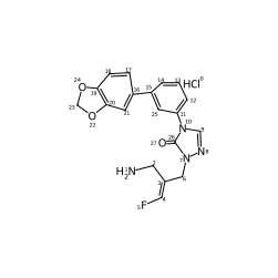 Cl.NC/C(=C\F)Cn1ncn(-c2cccc(-c3ccc4c(c3)OCO4)c2)c1=O